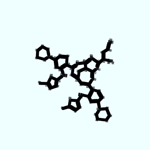 Cc1ccc(Nc2cc(N3CCCCC3)ccc2C2=CC3=CC(c4ccc(N5CCCCC5)cc4Nc4ccc(C)o4)=NC4=NC(/C(N)=C/C=N)=NC(=N2)C4C3)o1